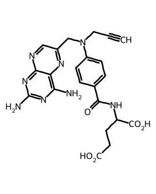 C#CCN(Cc1cnc2nc(N)nc(N)c2n1)c1ccc(C(=O)NC(CCC(=O)O)C(=O)O)cc1